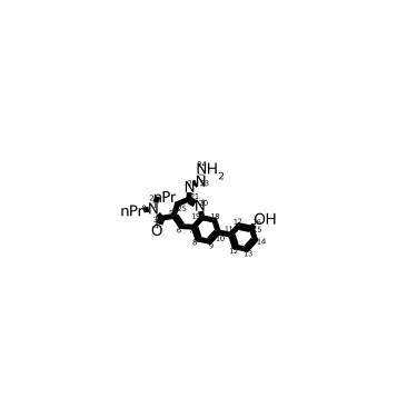 CCCN(CCC)C(=O)C1=CC2=CC=C(c3cccc(O)c3)CC2N=C(N=NN)C1